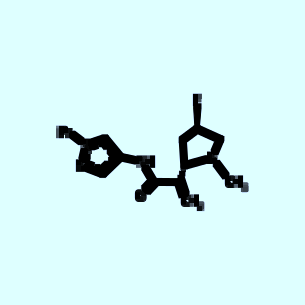 C=C(C(=O)Nc1cnn(C(C)C)c1)[C@@H]1C[C@@H](F)CN1C